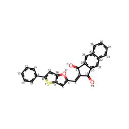 O=C1C(=Cc2cc3sc(-c4ccccc4)cc3o2)C(=O)c2cc3ccccc3cc21